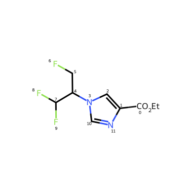 CCOC(=O)c1cn(C(CF)C(F)F)cn1